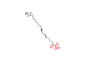 CCCCCCCCC#CCC=CCCCC(=O)C(=O)O